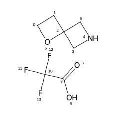 C1CC2(CNC2)O1.O=C(O)C(F)(F)F